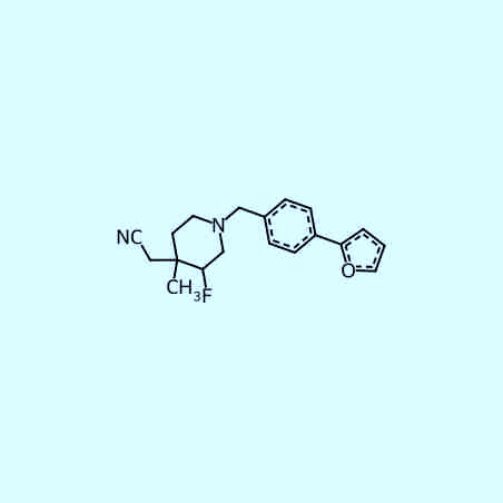 CC1(CC#N)CCN(Cc2ccc(-c3ccco3)cc2)CC1F